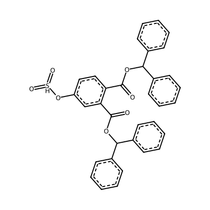 O=C(OC(c1ccccc1)c1ccccc1)c1ccc(O[SH](=O)=O)cc1C(=O)OC(c1ccccc1)c1ccccc1